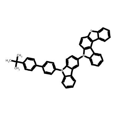 CC(C)(C)c1ccc(-c2ccc(-n3c4ccccc4c4cc(-n5c6ccccc6c6c7c(ccc65)sc5ccccc57)ccc43)cc2)cc1